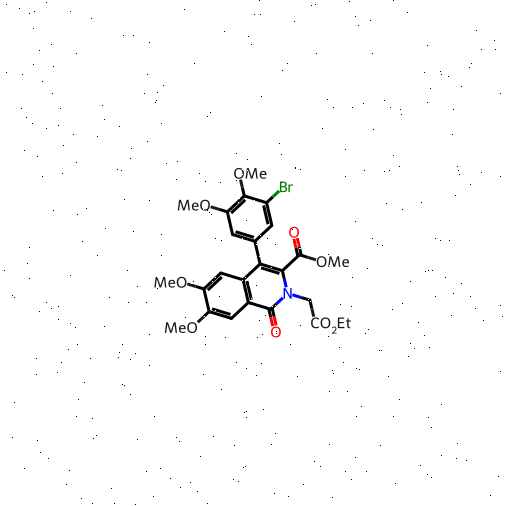 CCOC(=O)Cn1c(C(=O)OC)c(-c2cc(Br)c(OC)c(OC)c2)c2cc(OC)c(OC)cc2c1=O